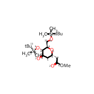 COC(=O)C[C@@H]1CC(=O)[C@H](O[Si](C)(C)C(C)(C)C)[C@@H](CO[Si](C)(C)C(C)(C)C)O1